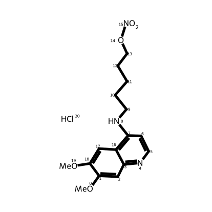 COc1cc2nccc(NCCCCCO[N+](=O)[O-])c2cc1OC.Cl